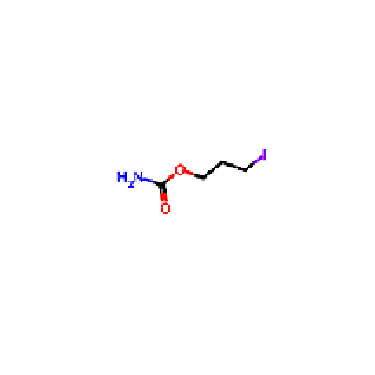 NC(=O)OCCCI